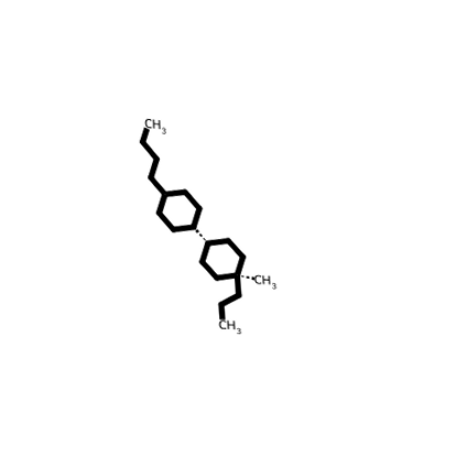 CCCCC1CCC([C@H]2CC[C@](C)(CCC)CC2)CC1